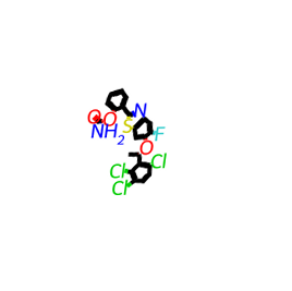 CC(Oc1cc2sc(-c3ccccc3OC(N)=O)nc2cc1F)c1c(Cl)ccc(Cl)c1Cl